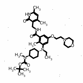 CCN(c1cc(OCCN2CCOCC2)cc(C(=O)NCc2c(C)cc(C)[nH]c2=O)c1C)[C@H]1CC[C@H](N(C)C(=O)OC(C)(C)C)CC1